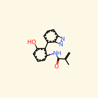 C=C(C)C(=O)Nc1cccc(O)c1-c1cccc2c1N=N2